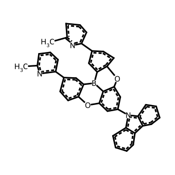 Cc1cccc(-c2ccc3c(c2)B2c4cc(-c5cccc(C)n5)ccc4Oc4cc(-n5c6ccccc6c6ccccc65)cc(c42)O3)n1